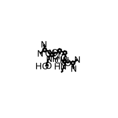 CCCCNCc1cc(Cl)c(OCc2cccc(-c3cccc(COc4nc(OCc5cc(C#N)cc(C#N)c5)c(CNCCCC(=O)O)cc4Cl)c3C)c2C)nc1OCc1cc(C#N)cc(C#N)c1